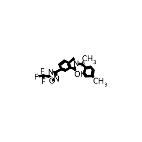 Cc1ccc([C@H](C)N2Cc3ccc(-c4noc(C(F)(F)F)n4)cc3C2O)cc1